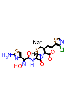 Nc1nc(C(=NO)C(=O)NC2C(=O)N3C(C(=O)[O-])=C(C=Cc4scnc4Cl)CS[C@@H]23)cs1.[Na+]